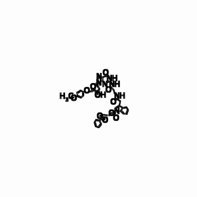 COc1ccc(OC[C@H]2O[C@@H](n3cnc4c(=O)[nH]c(NC(=O)CCNC(=O)Cc5cn(C(=O)OCCS(=O)(=O)c6ccccc6)c6ccccc56)nc43)C[C@H]2O)cc1